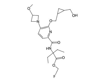 CCC(CC)(NC(=O)c1ccc(N2CC(OC)C2)c(OCC2CC2CO)n1)C(=O)OCF